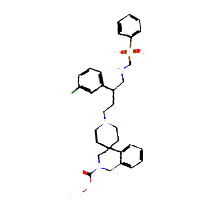 CC(C)(C)OC(=O)N1Cc2ccccc2C2(CCN(CCC(CNCS(=O)(=O)c3ccccc3)c3cccc(Cl)c3)CC2)C1